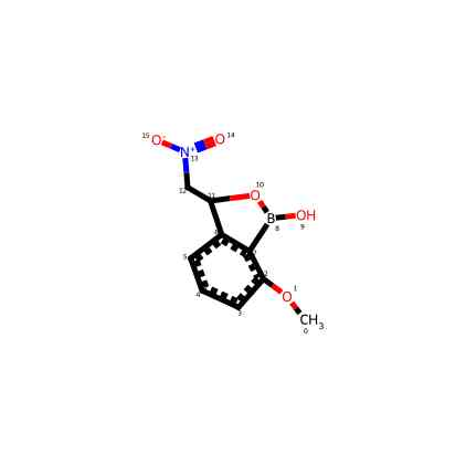 COc1cccc2c1B(O)OC2C[N+](=O)[O-]